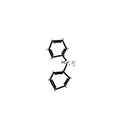 [Cl-].c1cc[c]([GeH+][c]2ccccc2)cc1